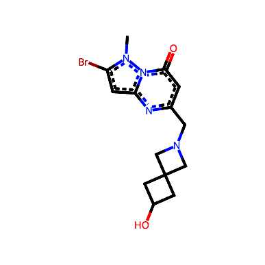 Cn1c(Br)cc2nc(CN3CC4(CC(O)C4)C3)cc(=O)n21